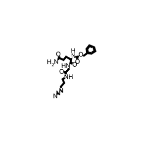 [N-]=[N+]=NCCCNC(=O)CNC(=O)C(CCC(N)=O)NC(=O)OCc1ccccc1